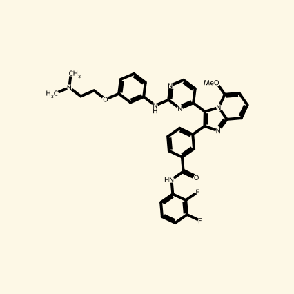 COc1cccc2nc(-c3cccc(C(=O)Nc4cccc(F)c4F)c3)c(-c3ccnc(Nc4cccc(OCCN(C)C)c4)n3)n12